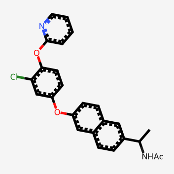 CC(=O)NC(C)c1ccc2cc(Oc3ccc(Oc4ccccn4)c(Cl)c3)ccc2c1